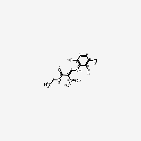 CCOC(=O)/C(=C/Nc1c(F)ccc(Cl)c1F)[N+](=O)[O-]